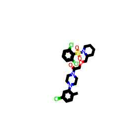 Cc1ccc(Cl)cc1N1CCN(C(=O)COCC2CCCCN2S(=O)(=O)c2c(Cl)cccc2Cl)CC1